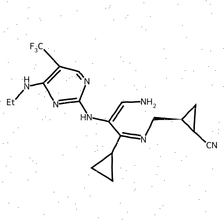 CCNc1nc(NC(=C/N)/C(=N\C[C@H]2CC2C#N)C2CC2)ncc1C(F)(F)F